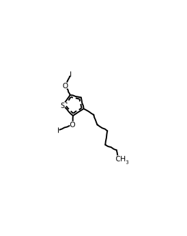 CCCCCCc1cc(OI)sc1OI